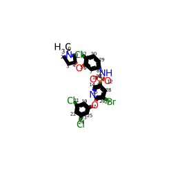 CN1CCC(Oc2cc(NS(=O)(=O)c3cnc(Oc4cc(Cl)cc(Cl)c4)c(Br)c3)ccc2Cl)C1